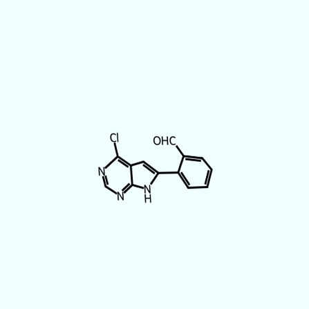 O=Cc1ccccc1-c1cc2c(Cl)ncnc2[nH]1